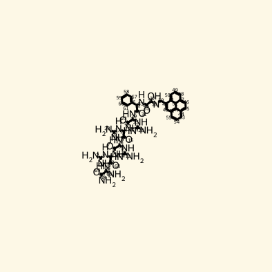 N=C(N)NC(NC(=O)C(NC(=N)N)NC(=O)C(NC(=N)N)NC(=O)C(NC(=N)N)NC(=O)C(NC(=O)C(O)/N=C/C1=CC2=C3C(=CC=C4C=CC=C1C43)CC=C2)c1ccccc1)C(=O)NC(N)C(N)=O